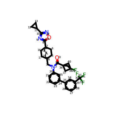 O=C(N(CC12CCC(c3nc(C4CC4)no3)(CC1)CC2)c1cccc(-c2cccc(C(F)(F)F)c2)c1)C12CC(F)(C1)C2